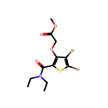 CCN(CC)C(=O)c1sc(Br)c(Br)c1OCC(=O)OC